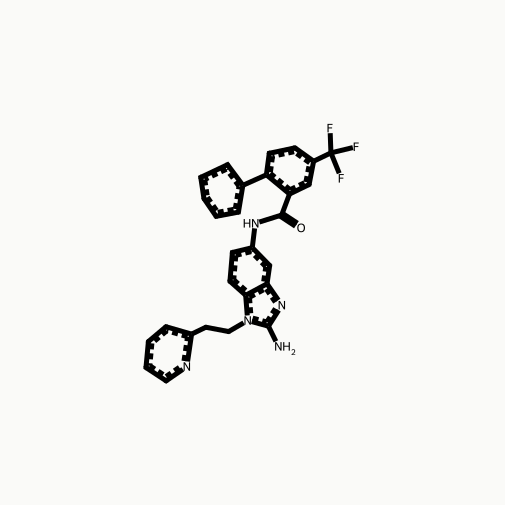 Nc1nc2cc(NC(=O)c3cc(C(F)(F)F)ccc3-c3ccccc3)ccc2n1CCc1ccccn1